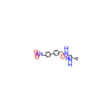 O=C(Cc1ccc(-c2ccc(/C=C/[N+](=O)[O-])cc2)cc1)Nc1cc(C2CC2)[nH]n1